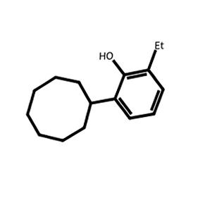 CCc1cccc(C2CCCCCCC2)c1O